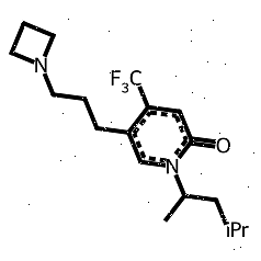 CC(C)CC(C)n1cc(CCCN2CCC2)c(C(F)(F)F)cc1=O